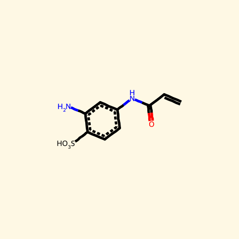 C=CC(=O)Nc1ccc(S(=O)(=O)O)c(N)c1